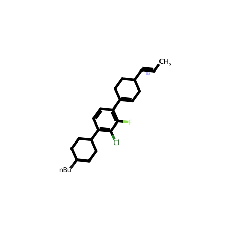 C/C=C/C1CC=C(c2ccc(C3CCC(CCCC)CC3)c(Cl)c2F)CC1